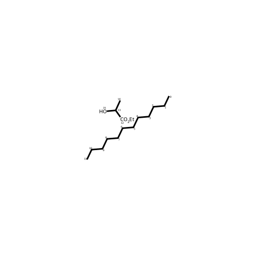 CCCCCCCCCCCC.CCOC(=O)C(C)O